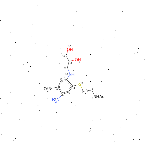 CC(=O)NCCSc1cc(N)c([N+](=O)[O-])cc1NCC(O)CO